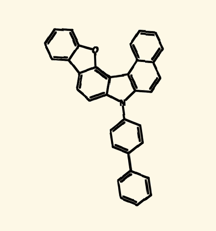 c1ccc(-c2ccc(-n3c4ccc5ccccc5c4c4c5oc6ccccc6c5ccc43)cc2)cc1